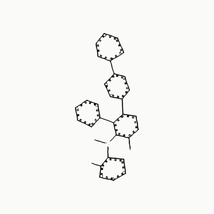 CC(C)(C)N(c1ccccc1F)c1c(F)ccc(-c2ccc(-c3ccccc3)cc2)c1-c1ccccc1